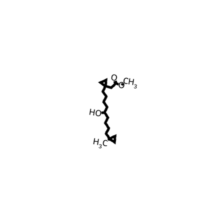 COC(=O)CC1(CCCCC(O)CCCCC2(C)CC2)CC1